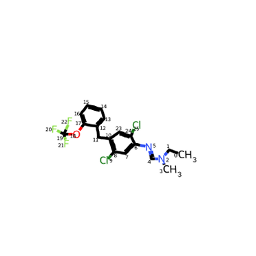 CCN(C)C=Nc1cc(Cl)c(Cc2ccccc2OC(F)(F)F)cc1Cl